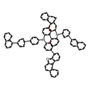 c1cc(-c2ccc3ccccc3c2)cc(N(c2ccc3c(ccc4ccccc43)c2)c2ccccc2-c2ccccc2N(c2ccc(-c3ccc(-c4cccc5ccccc45)cc3)cc2)c2ccc(-c3cccc4c3oc3ccc5ccccc5c34)cc2)c1